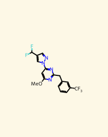 COc1cc(-n2cc(C(F)F)cn2)nc(Cc2cccc(C(F)(F)F)c2)n1